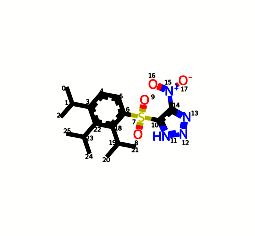 CC(C)c1ccc(S(=O)(=O)c2[nH]nnc2[N+](=O)[O-])c(C(C)C)c1C(C)C